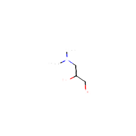 CCCCCCCCN(CCCCCCCC)CC(O)CO